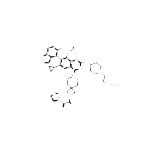 C=C(C(=O)N1CC2(CCN(c3nc(OC4CCN(CCOC)CC4)nc4c(OCC(F)(F)F)c(-c5c(C)ccc6[nH]ncc56)c(C5CC5)cc34)CC2)C1)n1ccnn1